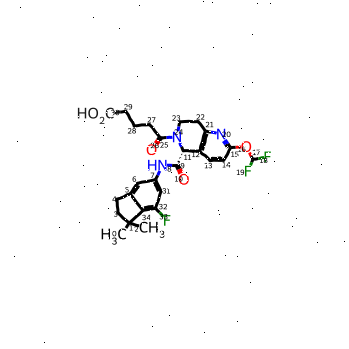 CC1(C)CCc2cc(NC(=O)[C@H]3c4ccc(OC(F)F)nc4CCN3C(=O)CCCC(=O)O)cc(F)c21